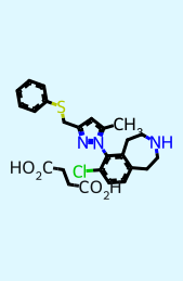 Cc1cc(CSc2ccccc2)nn1-c1c(Cl)ccc2c1CCNCC2.O=C(O)CCC(=O)O